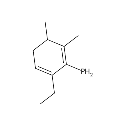 CCC1=CCC(C)C(C)=C1P